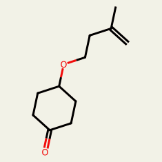 C=C(C)CCOC1CCC(=O)CC1